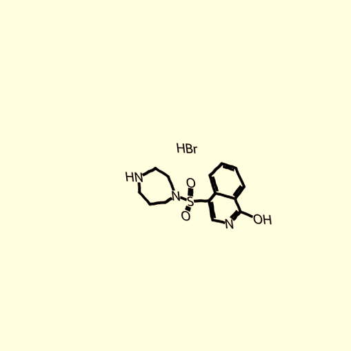 Br.O=S(=O)(c1cnc(O)c2ccccc12)N1CCCNCC1